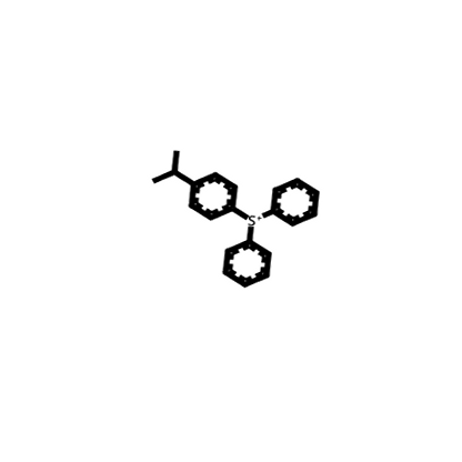 CC(C)c1ccc([S+](c2ccccc2)c2ccccc2)cc1